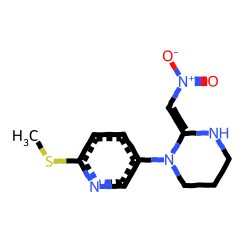 CSc1ccc(N2CCCNC2=C[N+](=O)[O-])cn1